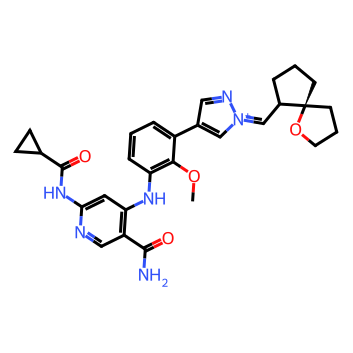 COc1c(Nc2cc(NC(=O)C3CC3)ncc2C(N)=O)cccc1C1=C/[N+](=C/C2CCC[C@]23CCCO3)N=C1